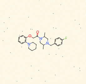 CC1CN(C(=O)COc2ccccc2N2CCCCC2)C(C)CN1Cc1ccc(F)cc1